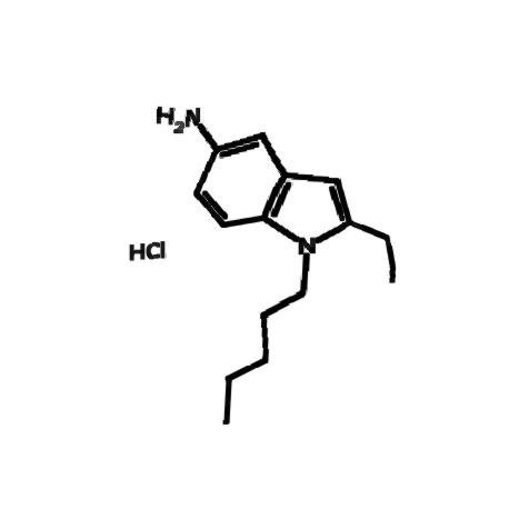 CCCCCn1c(CC)cc2cc(N)ccc21.Cl